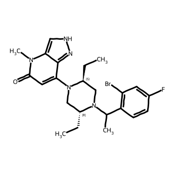 CC[C@H]1CN(C(C)c2ccc(F)cc2Br)[C@H](CC)CN1c1cc(=O)n(C)c2c[nH]nc12